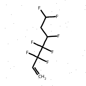 C=CC(F)(F)C(F)(F)C(F)CC(F)F